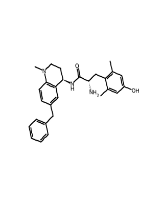 Cc1cc(O)cc(C)c1C[C@H](N)C(=O)N[C@@H]1CCN(C)c2ccc(Cc3ccccc3)cc21